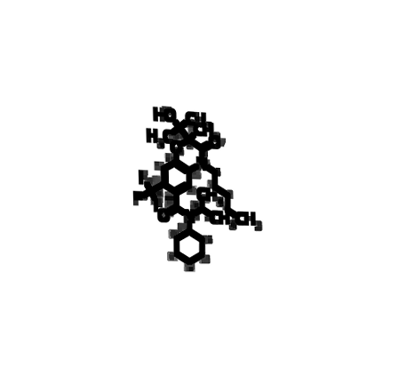 CCCCCN1C(=O)C(C)(C(C)(C)O)Oc2cc(C(F)(F)F)c(C(=O)N(C(C)C)C3CCCCC3)cc21